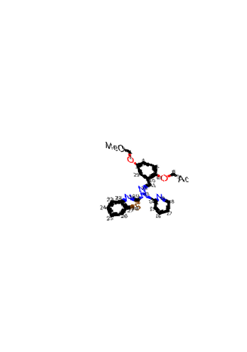 COCOc1ccc(OCC(C)=O)c(/C=N/N(c2ccccn2)c2nc3ccccc3s2)c1